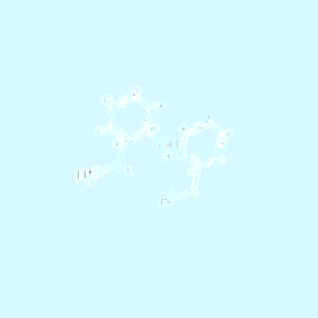 BrCc1ccccc1.COc1ccccc1O